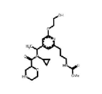 COC(=O)NCCCc1cc(C(C)N(C(=O)C2CNCCO2)C2CC2)cc(OCCO)n1